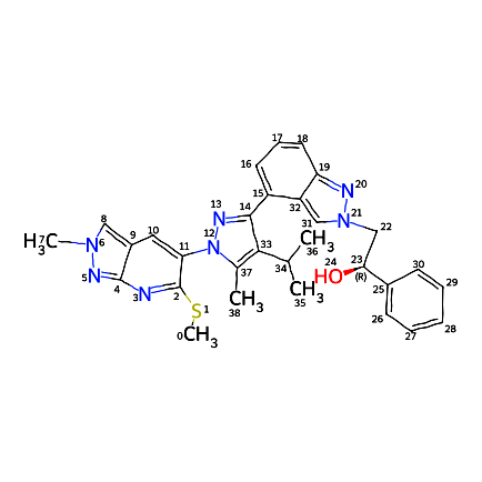 CSc1nc2nn(C)cc2cc1-n1nc(-c2cccc3nn(C[C@H](O)c4ccccc4)cc23)c(C(C)C)c1C